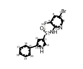 [O-][S+](Nc1ncc(Br)cc1F)c1c[nH]c(-c2ccccc2)c1